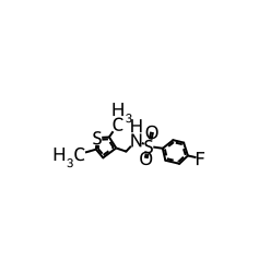 Cc1cc(CNS(=O)(=O)c2ccc(F)cc2)c(C)s1